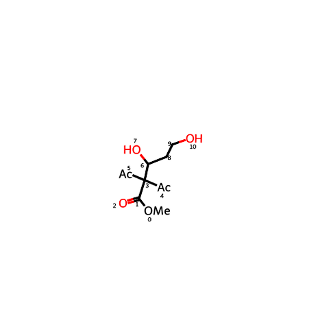 COC(=O)C(C(C)=O)(C(C)=O)C(O)CCO